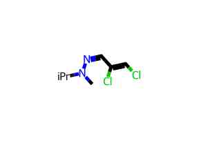 CC(C)N(C)/N=C\C(Cl)=C\Cl